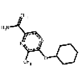 C=C(N)c1cnc(OC2CCCCC2)c(C)n1